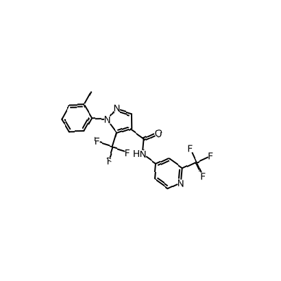 Cc1ccccc1-n1ncc(C(=O)Nc2ccnc(C(F)(F)F)c2)c1C(F)(F)F